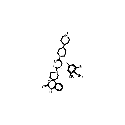 CN1CCC(C2CCN(C(=O)[C@@H](Cc3cc(Br)c(N)c(C(F)(F)F)c3)OC(=O)N3CCC4(CC3)OC(=O)Nc3ccccc34)CC2)CC1